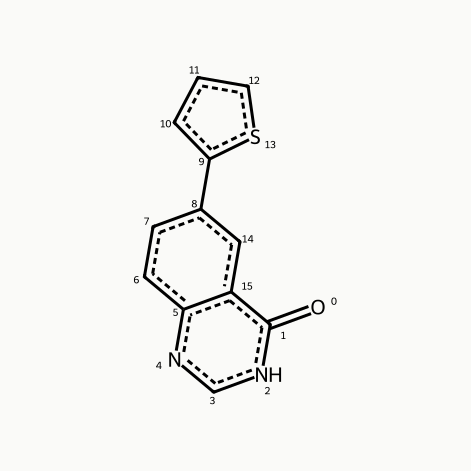 O=c1[nH]cnc2ccc(-c3cccs3)cc12